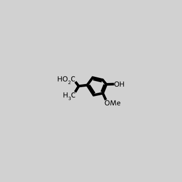 COc1cc(C(C)C(=O)O)ccc1O